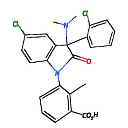 Cc1c(C(=O)O)cccc1N1C(=O)C(c2ccccc2Cl)(N(C)C)c2cc(Cl)ccc21